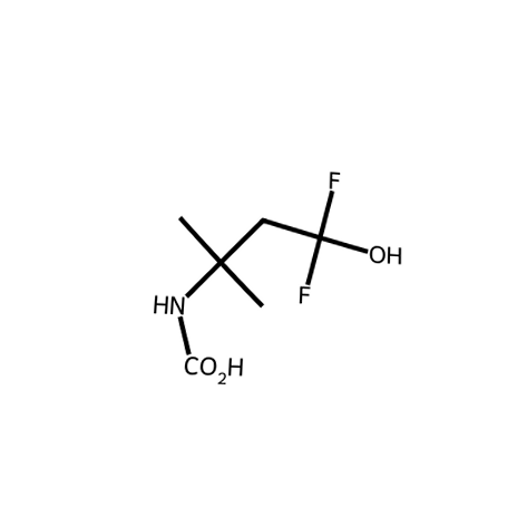 CC(C)(CC(O)(F)F)NC(=O)O